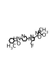 Cc1ccccc1C(=O)Nc1ccc(-n2nc(-c3nn(C)c(=O)o3)cc2CF)cn1